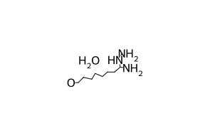 COCCCCCCCC(N)NN.O